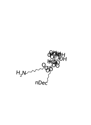 CCCCCCCCCCCCCCCC(=O)O[C@H](COC(=O)CCCCCCCCCN)COP(=O)(O)OC1C(O)[C@@H](OP(=O)(O)O)C(O)[C@@H](O)[C@H]1O